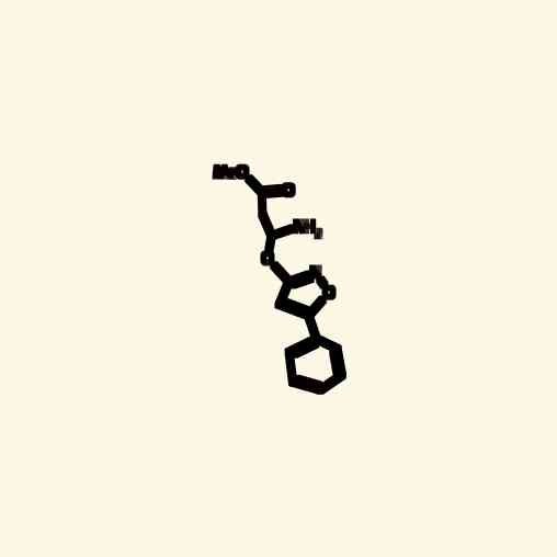 COC(=O)CC(N)Oc1cc(-c2ccccc2)on1